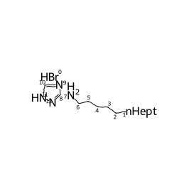 Br.CCCCCCCCCCCCN.c1nc[nH]n1